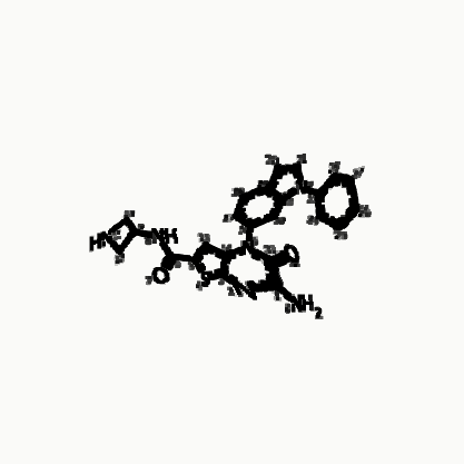 Nc1nc2sc(C(=O)NC3CNC3)cc2n(-c2ccc3ccn(-c4ccccc4)c3c2)c1=O